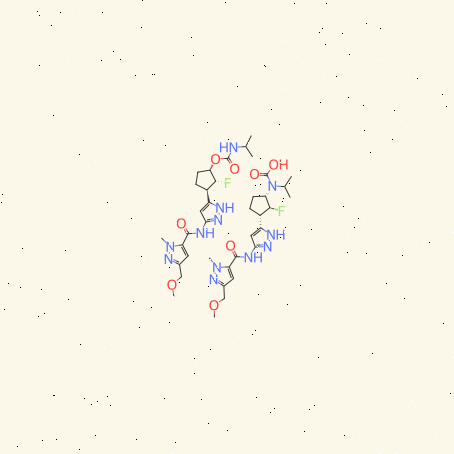 COCc1cc(C(=O)Nc2cc([C@@H]3CC[C@H](N(C(=O)O)C(C)C)[C@H]3F)[nH]n2)n(C)n1.COCc1cc(C(=O)Nc2cc([C@H]3CC[C@@H](OC(=O)NC(C)C)[C@@H]3F)[nH]n2)n(C)n1